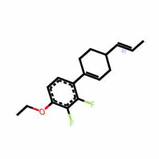 C/C=C/C1CC=C(c2ccc(OCC)c(F)c2F)CC1